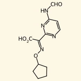 O=CNc1ccnc(C(=NOC2CCCC2)C(=O)O)n1